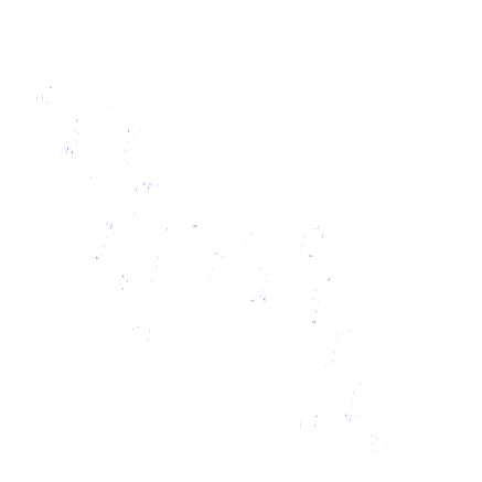 Cc1cnc(Nc2ncnc3ccc(Oc4ncc(OCCN(C)C)cc4C)cc23)cn1.Cl